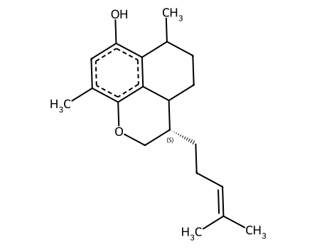 CC(C)=CCC[C@@H]1COc2c(C)cc(O)c3c2C1CCC3C